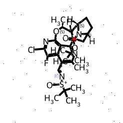 Cc1nc2c3c(nc(Cl)c(F)c3c1/C=N/[S+]([O-])C(C)(C)C)O[C@@H](C)[C@@H]1[C@@H]3CC[C@H](CN21)N3C(=O)OC(C)(C)C